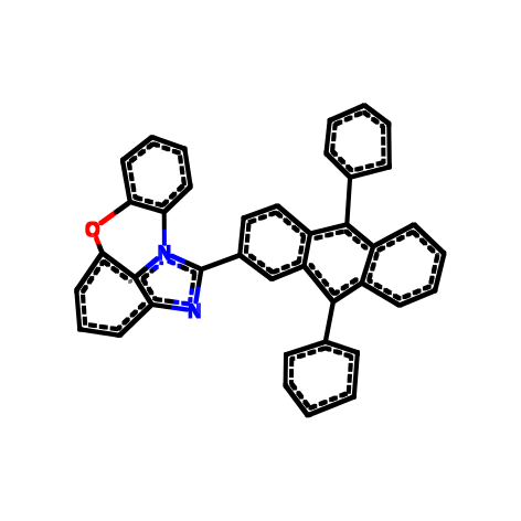 c1ccc(-c2c3ccccc3c(-c3ccccc3)c3cc(-c4nc5cccc6c5n4-c4ccccc4O6)ccc23)cc1